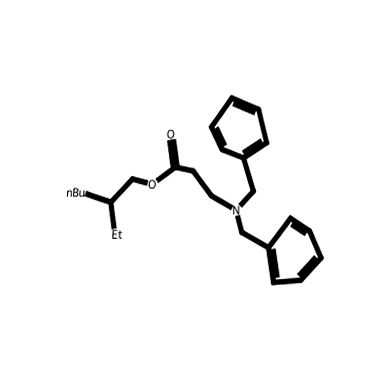 CCCCC(CC)COC(=O)CCN(Cc1ccccc1)Cc1ccccc1